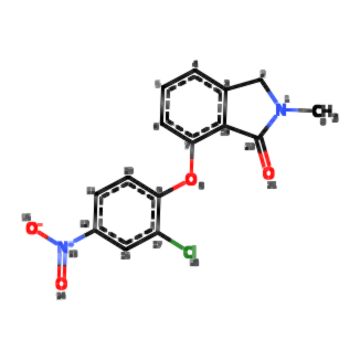 CN1Cc2cccc(Oc3ccc([N+](=O)[O-])cc3Cl)c2C1=O